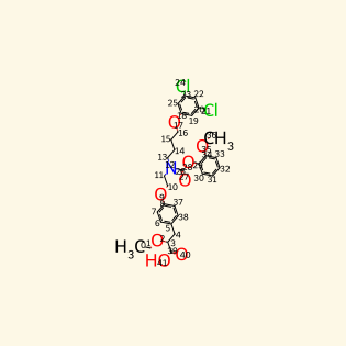 CCOC(Cc1ccc(OCCN(CCCCOc2cc(Cl)cc(Cl)c2)C(=O)Oc2ccccc2OC)cc1)C(=O)O